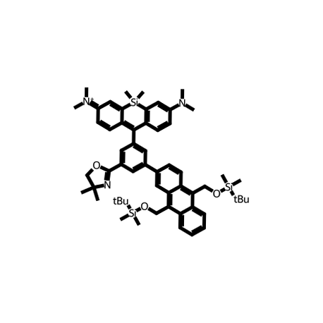 CN(C)c1ccc2c(c1)[Si](C)(C)C1=CC(=[N+](C)C)C=CC1=C2c1cc(C2=NC(C)(C)CO2)cc(-c2ccc3c(CO[Si](C)(C)C(C)(C)C)c4ccccc4c(CO[Si](C)(C)C(C)(C)C)c3c2)c1